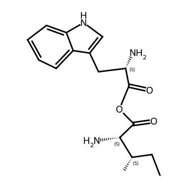 CC[C@H](C)[C@H](N)C(=O)OC(=O)[C@@H](N)Cc1c[nH]c2ccccc12